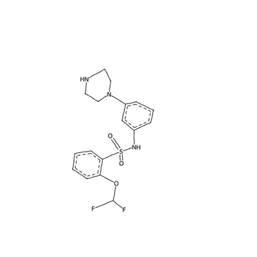 O=S(=O)(Nc1cccc(N2CCNCC2)c1)c1ccccc1OC(F)F